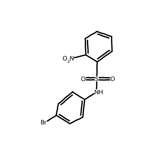 O=[N+]([O-])c1ccccc1S(=O)(=O)Nc1ccc(Br)cc1